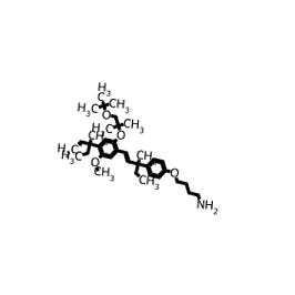 C=CC(C)(CC)c1cc(OC(C)(C)COC(C)(C)C)c(/C=C/C(C)(CC)c2ccc(OCCCCN)cc2)cc1OC